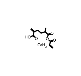 C=CC(=O)OC(=O)C(C)CCC(=C)C(=O)O.[CaH2]